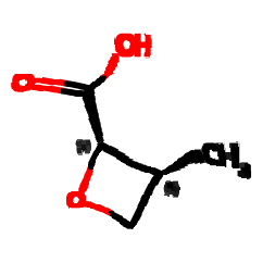 C[C@H]1CO[C@H]1C(=O)O